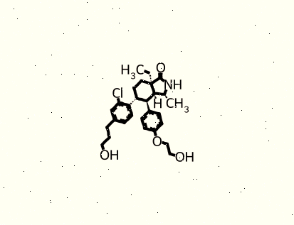 CC[C@@]12CC[C@@H](c3ccc(CCCO)cc3Cl)[C@H](c3ccc(OCCO)cc3)[C@@H]1[C@@H](C)NC2=O